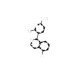 Nc1ccc(-c2nccc3c(Cl)cccc23)c(N)n1